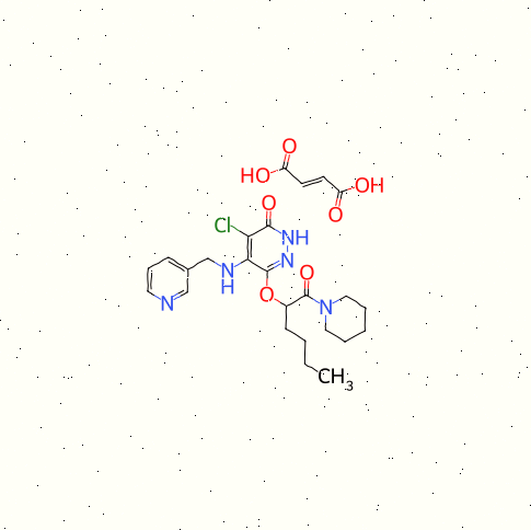 CCCCC(Oc1n[nH]c(=O)c(Cl)c1NCc1cccnc1)C(=O)N1CCCCC1.O=C(O)C=CC(=O)O